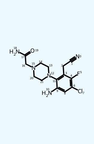 N#CCc1c(F)c(Cl)cc(N)c1N1CCN(CC(N)=O)CC1